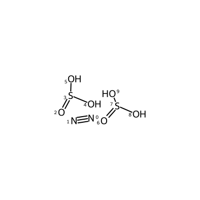 N#N.O=S(O)O.O=S(O)O